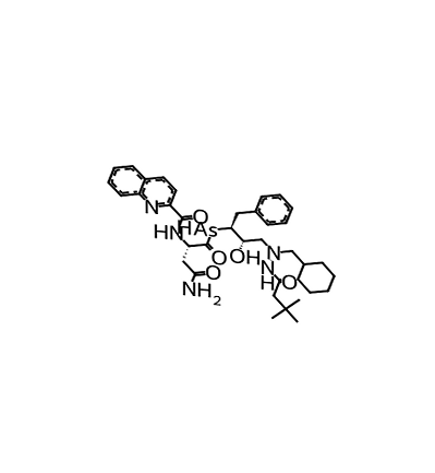 CC(C)(C)CC(=O)NN(CC1CCCCC1)C[C@H](O)[C@H](Cc1ccccc1)[AsH]C(=O)[C@H](CC(N)=O)NC(=O)c1ccc2ccccc2n1